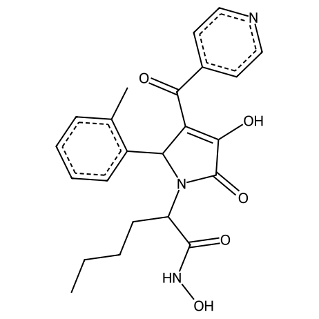 CCCCC(C(=O)NO)N1C(=O)C(O)=C(C(=O)c2ccncc2)C1c1ccccc1C